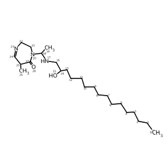 CCCCCCCCCCCCCCC(O)CNC(C)N1CCN=CC(C)C1=O